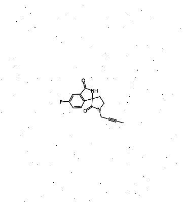 CC#CCN1CCC2(NC(=O)c3cc(F)ccc32)C1=O